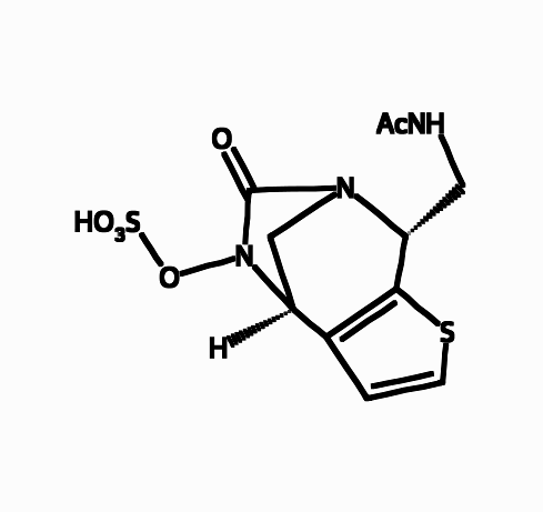 CC(=O)NC[C@@H]1c2sccc2[C@@H]2CN1C(=O)N2OS(=O)(=O)O